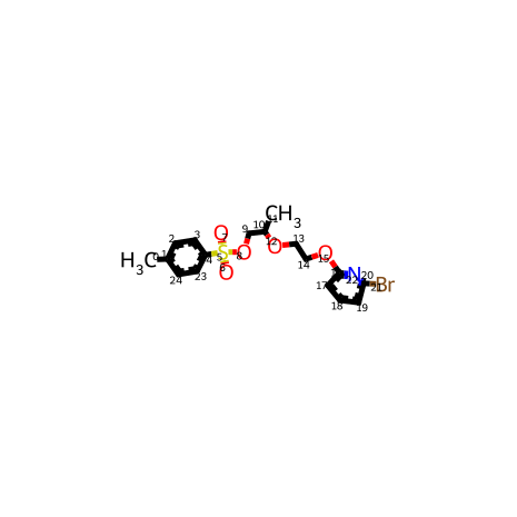 Cc1ccc(S(=O)(=O)OCC(C)OCCOc2cccc(Br)n2)cc1